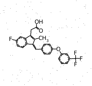 CC1=C(CC(=O)O)c2cc(F)ccc2C1=Cc1ccc(Oc2cccc(C(F)(F)F)c2)cc1